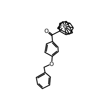 O=C(c1ccc(OCc2ccccc2)cc1)[C]12[CH]3[CH]4[CH]5[CH]1[Fe]45321678[CH]2[CH]1[CH]6[CH]7[CH]28